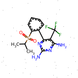 CC(C)S(=O)(=O)c1ccccc1-c1nc(N)nc(N)c1C(F)(F)F